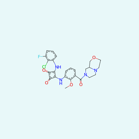 COc1c(Nc2c(Nc3cccc(F)c3Cl)c(=O)c2=O)cccc1C(=O)N1CCN2CCOCC2C1